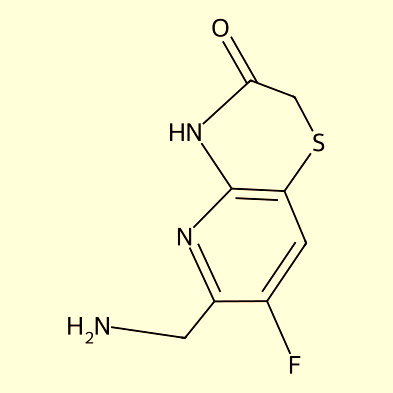 NCc1nc2c(cc1F)SCC(=O)N2